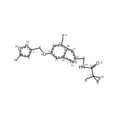 Cc1cc(COc2cc(F)c3cc(CNC(=O)C4(C)CC4)[nH]c3c2)no1